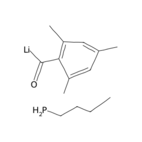 CCCCP.[Li][C](=O)c1c(C)cc(C)cc1C